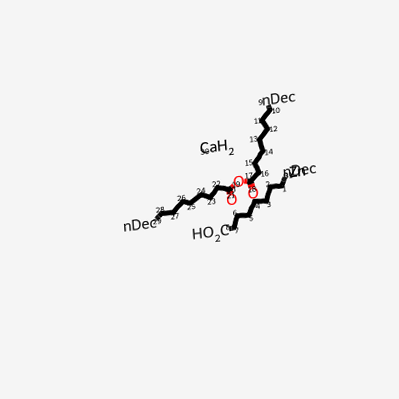 CCCCCCCCCCCCCCCCCC(=O)O.CCCCCCCCCCCCCCCCCC(=O)OC(=O)CCCCCCCCCCCCCCCCC.[CaH2].[Zn]